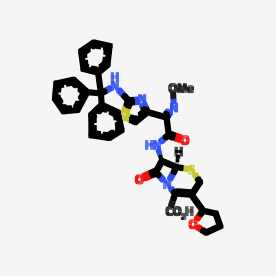 CO/N=C(/C(=O)N[C@@H]1C(=O)N2C(C(=O)O)=C(C3CCCO3)CS[C@H]12)c1csc(NC(c2ccccc2)(c2ccccc2)c2ccccc2)n1